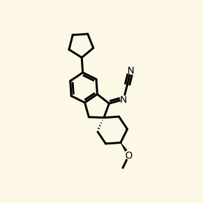 CO[C@H]1CC[C@]2(CC1)Cc1ccc(C3CCCC3)cc1/C2=N\C#N